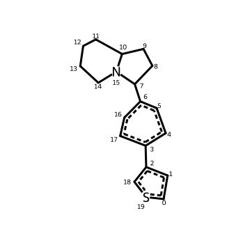 c1cc(-c2ccc(C3CCC4CCCCN43)cc2)cs1